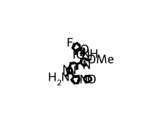 COc1ncc(-c2ccc3nc(N)c(-c4cccc(N5CCOCC5)c4)n3c2)cc1NS(=O)(=O)c1ccc(F)cc1F